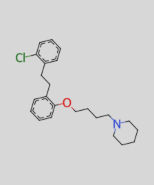 Clc1ccccc1CCc1ccccc1OCCCCN1CCCCC1